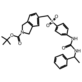 CC(NC(=O)Nc1ccc(S(=O)(=O)Cc2ccc3c(c2)CN(C(=O)OC(C)(C)C)C3)cc1)c1ccccc1